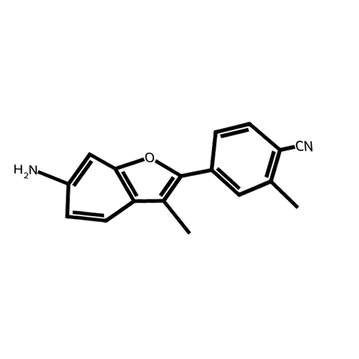 Cc1cc(-c2oc3cc(N)ccc3c2C)ccc1C#N